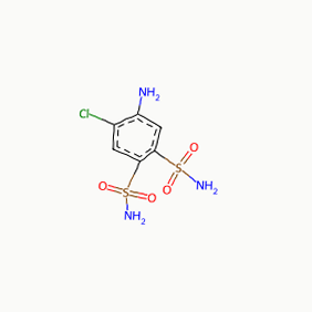 Nc1cc(S(N)(=O)=O)c(S(N)(=O)=O)cc1Cl